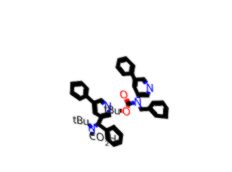 CC(C)(C)N(C(=O)O)C(c1ccccc1)c1cncc(-c2ccccc2)c1.CC(C)(C)OC(=O)N(Cc1ccccc1)c1cncc(-c2ccccc2)c1